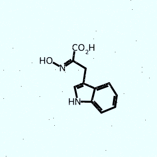 O=C(O)C(Cc1c[nH]c2ccccc12)=NO